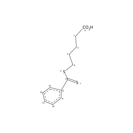 O=C(O)CCCCSC(=S)c1ccccc1